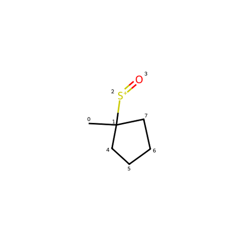 CC1([S+]=O)CCCC1